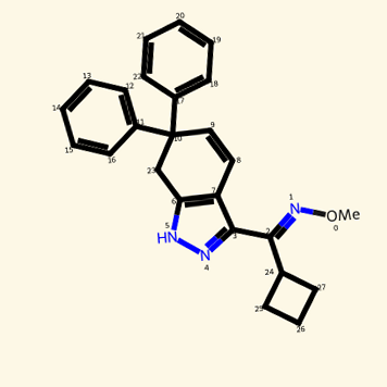 CON=C(c1n[nH]c2c1C=CC(c1ccccc1)(c1ccccc1)C2)C1CCC1